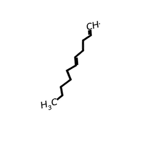 [CH]=CCCC=CCCCCC